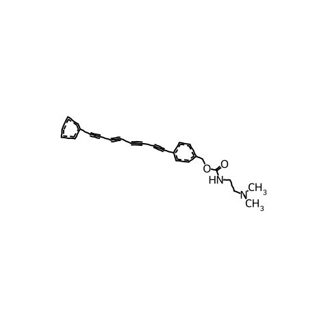 CN(C)CCNC(=O)OCc1ccc(C#CC#CC#CC#Cc2ccccc2)cc1